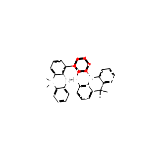 CC1(C)c2ccccc2N2c3ccccc3B(N3c4ccccc4[Si](C)(C)c4cccc(-c5ccccc5)c43)c3cccc1c32